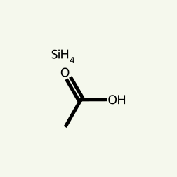 CC(=O)O.[SiH4]